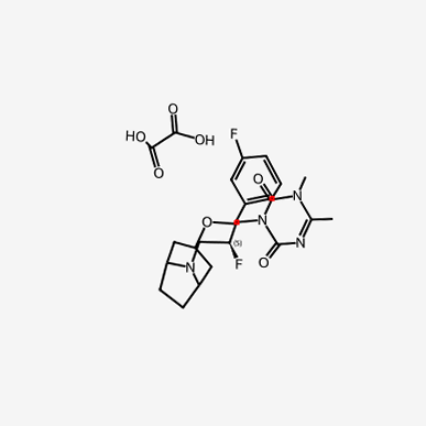 Cc1nc(=O)n(C[C@@H](F)CN2C3CCC2CC(OCc2cccc(F)c2)C3)c(=O)n1C.O=C(O)C(=O)O